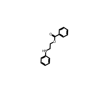 O=C(OCCNc1ccccc1)c1ccccc1